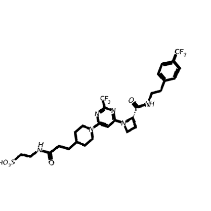 O=C(CCC1CCN(c2cc(N3CC[C@H]3C(=O)NCCc3ccc(C(F)(F)F)cc3)nc(C(F)(F)F)n2)CC1)NCCS(=O)(=O)O